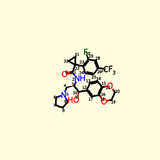 O=C(N[C@H](CN1CCCC1)[C@H](O)c1ccc2c(c1)OCCO2)C1(c2ccc(C(F)(F)F)cc2F)CC1